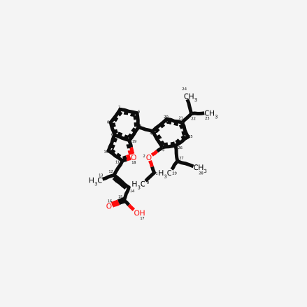 CCOc1c(-c2cccc3cc(C(C)=CC(=O)O)oc23)cc(C(C)C)cc1C(C)C